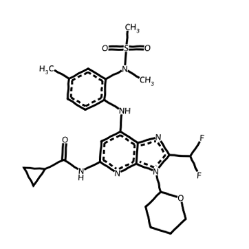 Cc1ccc(Nc2cc(NC(=O)C3CC3)nc3c2nc(C(F)F)n3C2CCCCO2)c(N(C)S(C)(=O)=O)c1